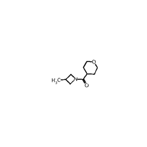 CC1CN(C(=O)C2CCOCC2)C1